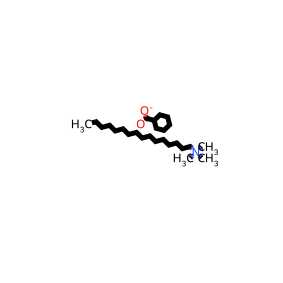 CCCCCCCCCCCCCCCC[N+](C)(C)C.O=C([O-])C1CCCCC1